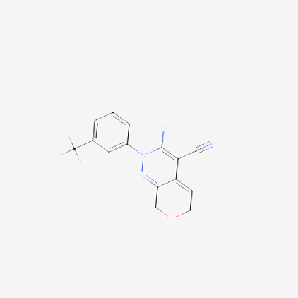 Cl.N#CC1=C(N)N(c2cccc(C(F)(F)F)c2)N=C2COCC=C21